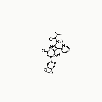 CC(C)C(=O)Nc1nn2c(=O)cc(-c3ccc4c(c3)OCO4)[nH]c2c1-c1ccccn1